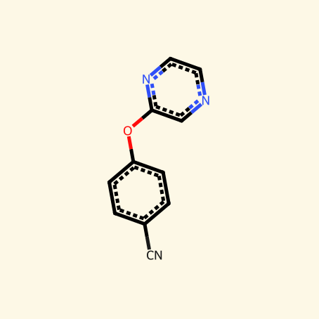 N#Cc1ccc(Oc2cnccn2)cc1